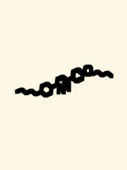 CCCCCOc1ccc(-c2ccc(C3CCC(CCCCC)CC3)nn2)cc1